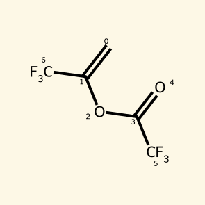 C=C(OC(=O)C(F)(F)F)C(F)(F)F